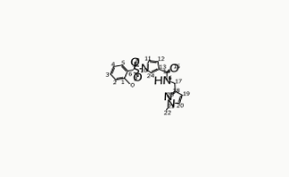 Cc1ccccc1S(=O)(=O)n1ccc(C(=O)NCc2ccn(C)n2)c1